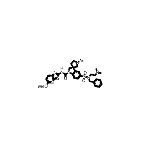 COc1ccc2nc(NC(=O)N3CC4(CCN(C(C)=O)C4)c4cc(S(=O)(=O)N(CCN(C)C)Cc5ccccc5)ccc43)sc2n1